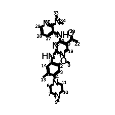 COc1cc(N2CCN(C)CC2)c(C)cc1Nc1ncc(C(C)=O)c(Nc2cccnc2N(C)C)n1